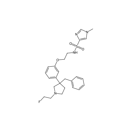 Cn1cnc(S(=O)(=O)NCCOc2cccc(C3(Cc4ccccc4)CCN(CCF)C3)c2)c1